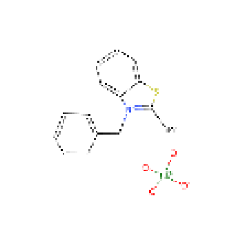 CC(C)c1sc2ccccc2[n+]1Cc1ccccc1.[O-][Cl+3]([O-])([O-])[O-]